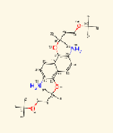 CC(C)(C)OCCC(C)(C)Oc1c(N)ccc2c(OC(C)(C)CCOC(C)(C)C)c(N)ccc12